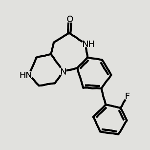 O=C1CC2CNCCN2c2cc(-c3ccccc3F)ccc2N1